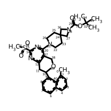 Cc1cccc2cccc(C3Cc4nc(S(C)(=O)=O)nc(N5CCC6(CC5)CN(C(=O)OC(C)(C)C)C6)c4CO3)c12